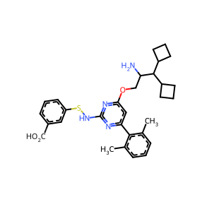 Cc1cccc(C)c1-c1cc(OCC(N)C(C2CCC2)C2CCC2)nc(NSc2cccc(C(=O)O)c2)n1